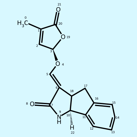 CC1=C[C@H](O/C=C2/C(=O)N[C@@H]3c4ccccc4CC23)OC1=O